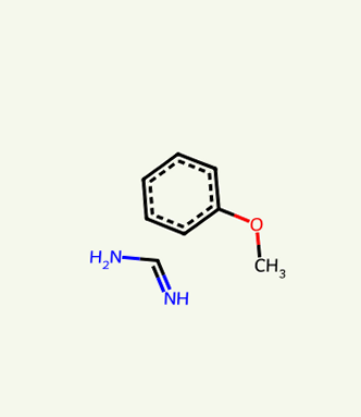 COc1ccccc1.N=CN